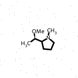 CO[C@H](C)C1CCCN1C